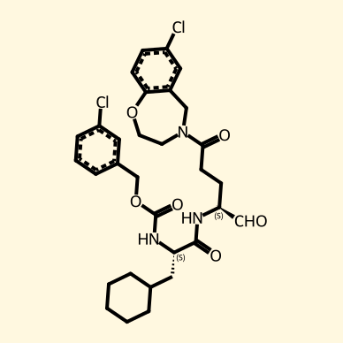 O=C[C@H](CCC(=O)N1CCOc2ccc(Cl)cc2C1)NC(=O)[C@H](CC1CCCCC1)NC(=O)OCc1cccc(Cl)c1